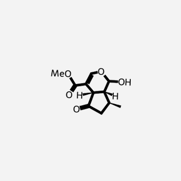 COC(=O)C1=COC(O)[C@H]2[C@@H]1C(=O)C[C@@H]2C